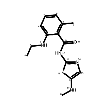 CCNc1cccc(C)c1C(=O)Nc1ncc(NC)s1